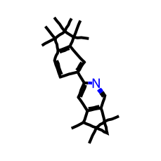 CC1c2cc(-c3ccc4c(c3)C(C)(C)C(C)(C)C4(C)C)ncc2C2(C)CC12C